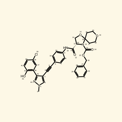 Cn1cc(C#Cc2ccc(NC(=O)[C@@H]3COC4(CCOCC4)N3C(=O)OCc3ccccc3)cc2)c(-c2cc(Cl)ccc2O)n1